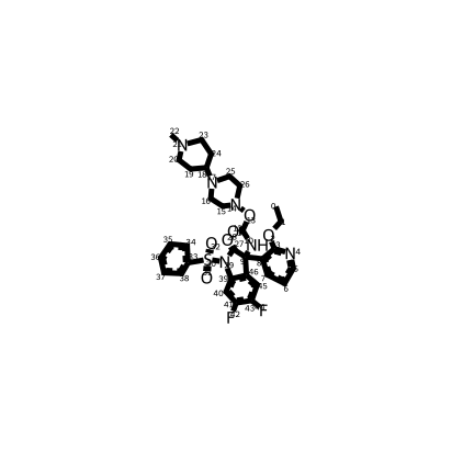 CCOc1ncccc1C1(NC(=O)ON2CCN(C3CCN(C)CC3)CC2)C(=O)N(S(=O)(=O)c2ccccc2)c2cc(F)c(F)cc21